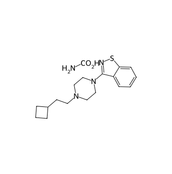 NC(=O)O.c1ccc2c(N3CCN(CCC4CCC4)CC3)nsc2c1